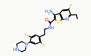 CCc1nc2sc(C(=O)NCCc3cc(F)c(N4CCNCC4)cc3F)c(N)c2cc1F